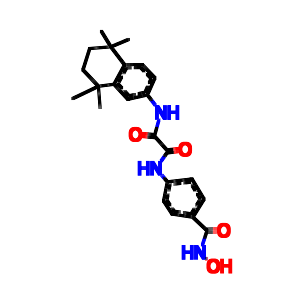 CC1(C)CCC(C)(C)c2cc(NC(=O)C(=O)Nc3ccc(C(=O)NO)cc3)ccc21